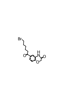 O=C1COc2ccc(C(=O)CCCCCBr)cc2N1